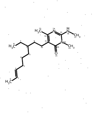 CC=CCCCC(CC)CCc1c(C)nc(NC)n(C)c1=O